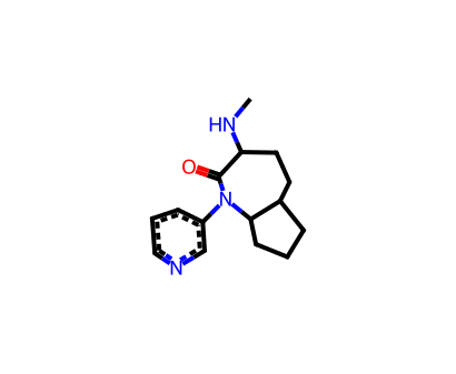 CNC1CCC2CCCC2N(c2cccnc2)C1=O